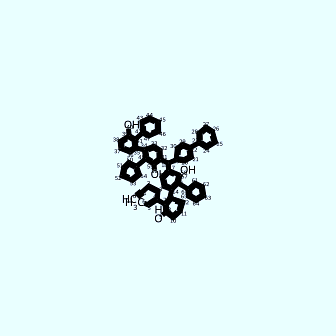 C#C/C=C\C(=C/C)c1c(O)cccc1-c1ccc(C(c2ccc(-c3ccccc3)cc2)c2ccc(-c3cccc(O)c3-c3ccccc3)c(-c3ccccc3)c2O)c(O)c1-c1ccccc1